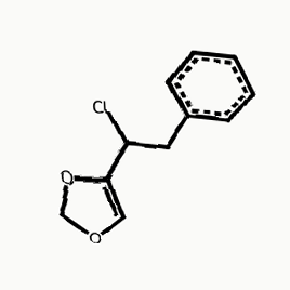 ClC(Cc1ccccc1)C1=COCO1